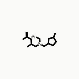 C=C(C)CC(C)CN(CC(C)C)CC1CCC(C)C1